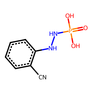 N#Cc1ccccc1NNP(=O)(O)O